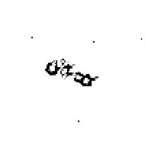 O=C(N1Cc2ccc(F)cc2C1)C(F)(F)S(=O)(=O)c1ccccn1